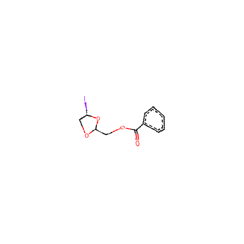 O=C(OCC1OC[C@@H](I)O1)c1ccccc1